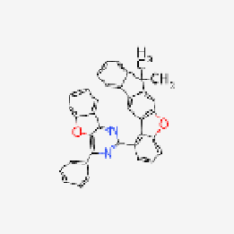 CC1(C)c2ccccc2-c2cc3c(cc21)oc1cccc(-c2nc(-c4ccccc4)c4oc5ccccc5c4n2)c13